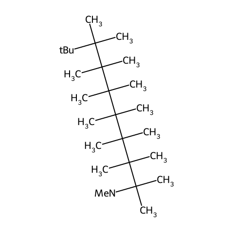 CNC(C)(C)C(C)(C)C(C)(C)C(C)(C)C(C)(C)C(C)(C)C(C)(C)C(C)(C)C